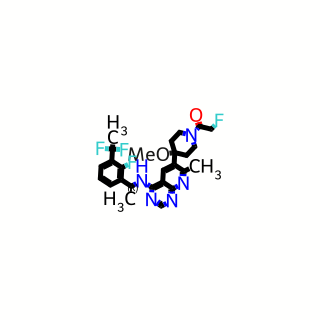 COC1(c2cc3c(N[C@H](C)c4cccc(C(C)(F)F)c4F)ncnc3nc2C)CCN(C(=O)CF)CC1